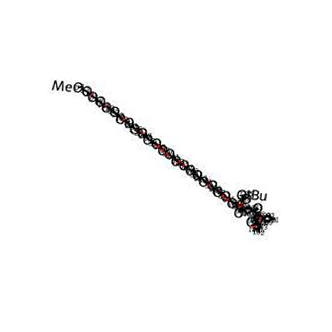 COCCOCCOCCOCCOCCOCCOCCOCCOCCOCCOCCOCCOCCOCCOCCOCCOCCOCCOCCOCCOCCOCCOCCN(CCC(=O)OC(C)(C)C)C(=O)c1ccc(C(=O)C(CCc2ccc(C)cc2)CS(=O)(=O)c2ccc(C)cc2)cc1